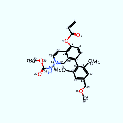 C=CC(=O)Oc1ccc(-c2c(OC)cc(COCC)cc2OC)c2c1C=CN(NC(=O)OC(C)(C)C)C2